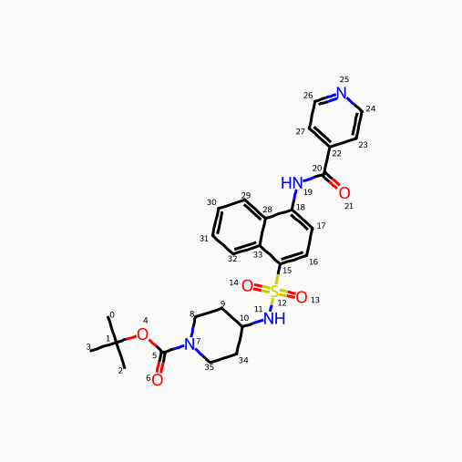 CC(C)(C)OC(=O)N1CCC(NS(=O)(=O)c2ccc(NC(=O)c3ccncc3)c3ccccc23)CC1